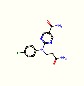 NC(=O)[CH]CN(c1ccc(F)cc1)c1ncc(C(N)=O)cn1